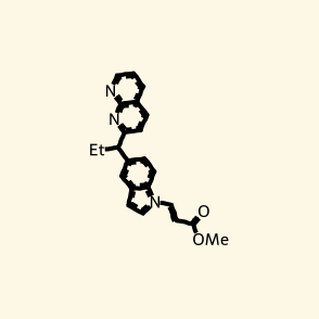 CCC(c1ccc2c(ccn2C=CC(=O)OC)c1)c1ccc2cccnc2n1